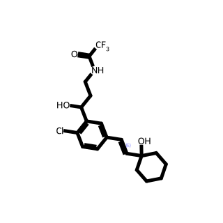 O=C(NCCC(O)c1cc(/C=C/C2(O)CCCCC2)ccc1Cl)C(F)(F)F